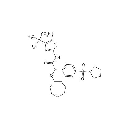 CC(C)(C(=O)O)c1nc(NC(=O)C(OC2CCCCCC2)c2ccc(S(=O)(=O)N3CCCC3)cc2)sc1F